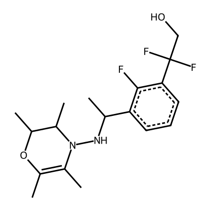 CC1=C(C)N(NC(C)c2cccc(C(F)(F)CO)c2F)C(C)C(C)O1